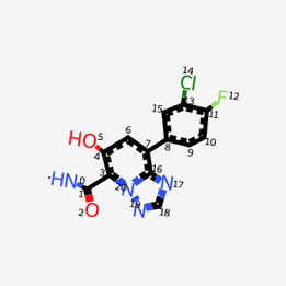 [NH]C(=O)c1c(O)cc(-c2ccc(F)c(Cl)c2)c2ncnn12